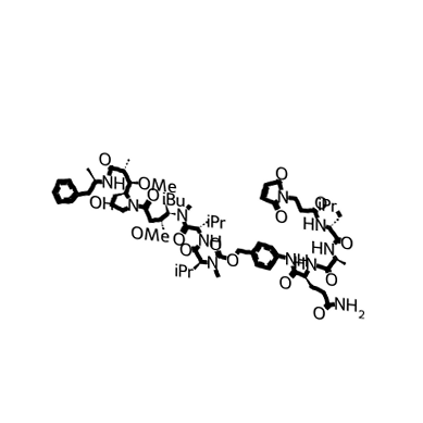 CC[C@H](C)[C@@H]([C@@H](CC(=O)N1CCC[C@H]1[C@H](OC)[C@@H](C)C(=O)N[C@H](C)[C@@H](O)c1ccccc1)OC)N(C)C(=O)[C@@H](NC(=O)[C@H](C(C)C)N(C)C(=O)OCc1ccc(NC(=O)[C@H](CCC(N)=O)NC(=O)[C@H](C)NC(=O)[C@@H](CC(C)C)NC(=O)CCN2C(=O)C=CC2=O)cc1)C(C)C